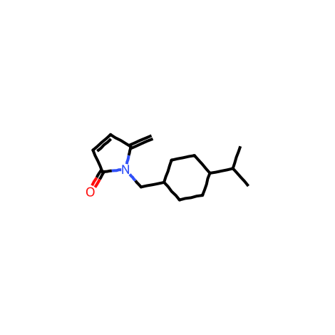 C=C1C=CC(=O)N1CC1CCC(C(C)C)CC1